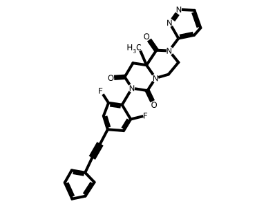 CC12CC(=O)N(c3c(F)cc(C#Cc4ccccc4)cc3F)C(=O)N1CCN(c1cccnn1)C2=O